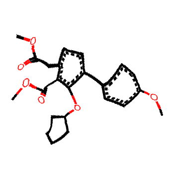 COC(=O)c1ccc(-c2ccc(OC)cc2)c(OC2CCCC2)c1C(=O)OC